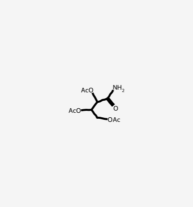 CC(=O)OCC(OC(C)=O)C(OC(C)=O)C(N)=O